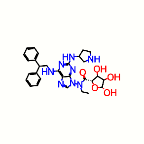 CCN(C(=O)[C@H]1O[C@@H](O)[C@H](O)[C@@H]1O)n1cnc2c(NCC(c3ccccc3)c3ccccc3)nc(NC3CCNC3)nc21